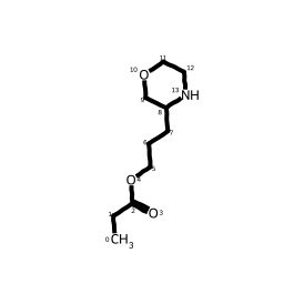 CCC(=O)OCCCC1COCCN1